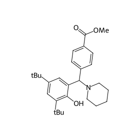 COC(=O)c1ccc(C(c2cc(C(C)(C)C)cc(C(C)(C)C)c2O)N2CCCCC2)cc1